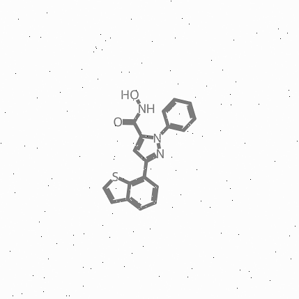 O=C(NO)c1cc(-c2cccc3ccsc23)nn1-c1ccccc1